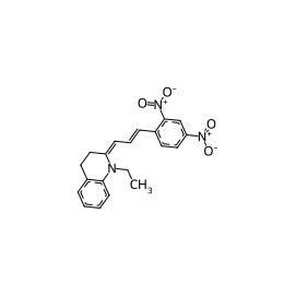 CCN1C(=CC=Cc2ccc([N+](=O)[O-])cc2[N+](=O)[O-])CCc2ccccc21